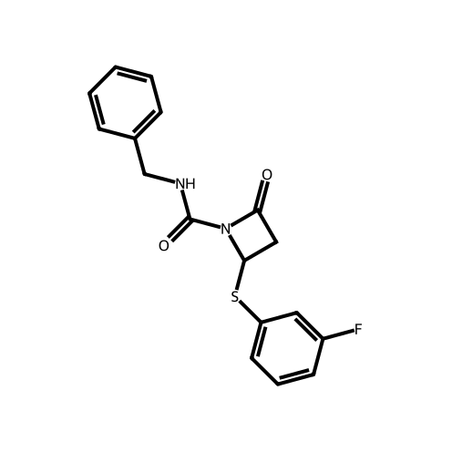 O=C1CC(Sc2cccc(F)c2)N1C(=O)NCc1ccccc1